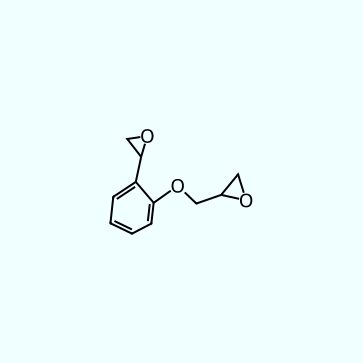 c1ccc(C2CO2)c(OCC2CO2)c1